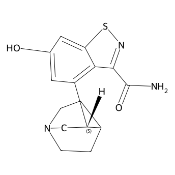 NC(=O)c1nsc2cc(O)cc([C@H]3CN4CCC3CC4)c12